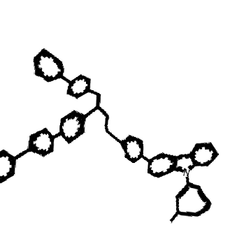 CC1C=C(n2c3ccccc3c3cc(-c4ccc(CCC(Cc5ccc(-c6ccccc6)cc5)c5ccc(-c6ccc(-c7ccccc7)cc6)cc5)cc4)ccc32)C=CC1